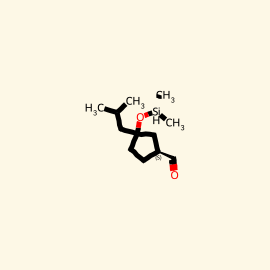 CC(C)CC1(O[SiH](C)C)CC[C@H](C=O)C1